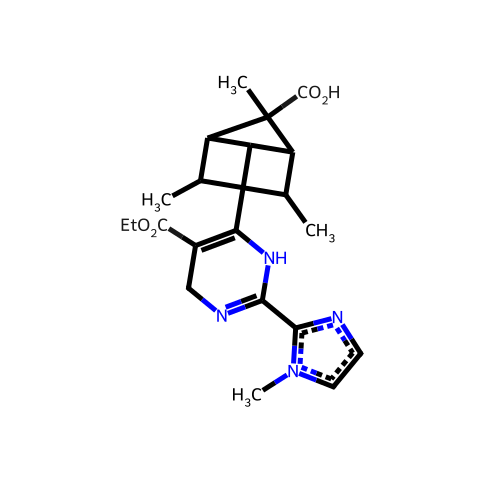 CCOC(=O)C1=C(C23C(C)C4C2C(C3C)C4(C)C(=O)O)NC(c2nccn2C)=NC1